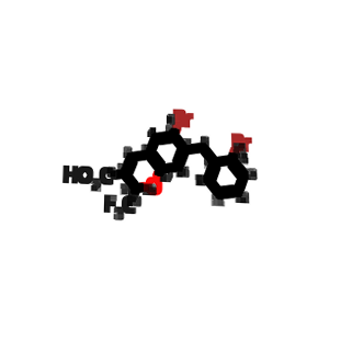 O=C(O)C1=Cc2cc(Br)c(Cc3ccccc3Br)cc2OC1C(F)(F)F